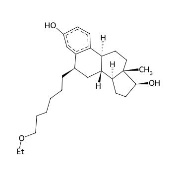 CCOCCCCCC[C@@H]1C[C@@H]2[C@H](CC[C@]3(C)[C@@H](O)CC[C@@H]23)c2ccc(O)cc21